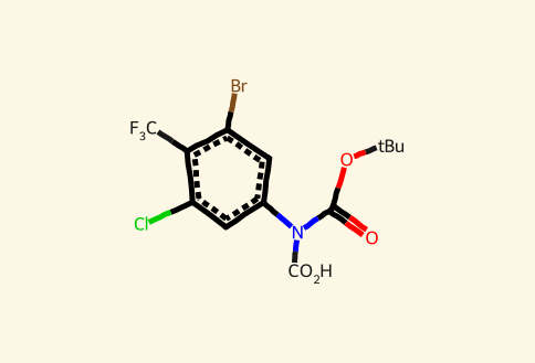 CC(C)(C)OC(=O)N(C(=O)O)c1cc(Cl)c(C(F)(F)F)c(Br)c1